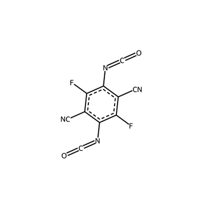 N#Cc1c(F)c(N=C=O)c(C#N)c(F)c1N=C=O